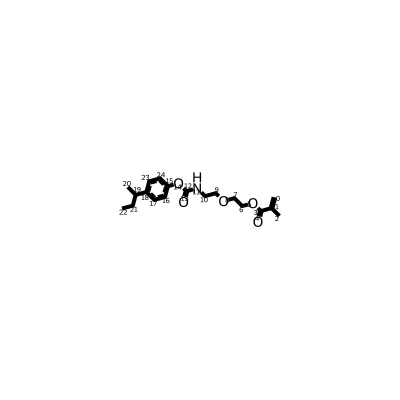 C=C(C)C(=O)OCCOCCNC(=O)Oc1ccc(C(C)CC)cc1